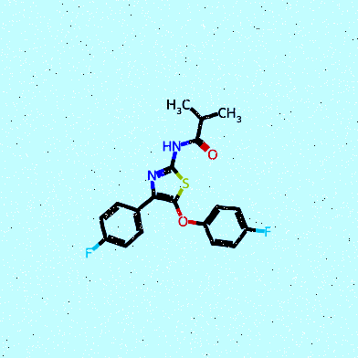 CC(C)C(=O)Nc1nc(-c2ccc(F)cc2)c(Oc2ccc(F)cc2)s1